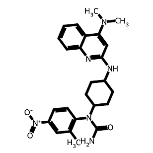 Cc1cc([N+](=O)[O-])ccc1N(C(N)=O)C1CCC(Nc2cc(N(C)C)c3ccccc3n2)CC1